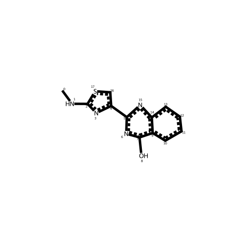 CNc1nc(-c2nc(O)c3[c]cccc3n2)cs1